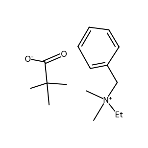 CC(C)(C)C(=O)[O-].CC[N+](C)(C)Cc1ccccc1